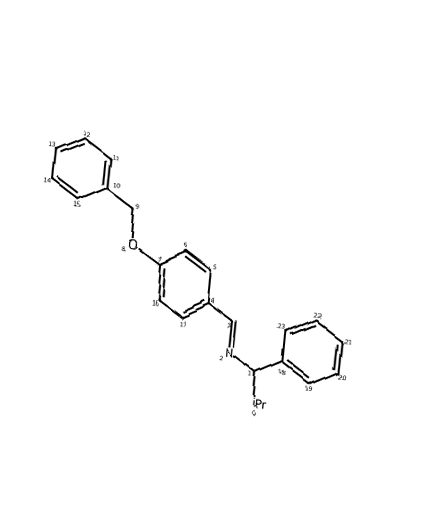 CC(C)C(N=Cc1ccc(OCc2ccccc2)cc1)c1ccccc1